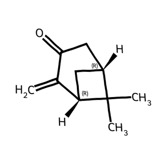 C=C1C(=O)C[C@H]2C[C@@H]1C2(C)C